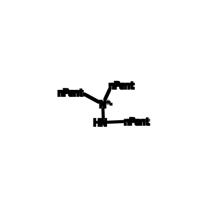 CCCCCN[N+](CCCCC)CCCCC